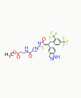 COC(=O)CCNC(=O)C1CN(C2=NC(=O)C(=C(Cc3ccc(C(F)(F)F)cc3C(F)(F)F)c3ccc4[nH]ncc4c3)S2)C1